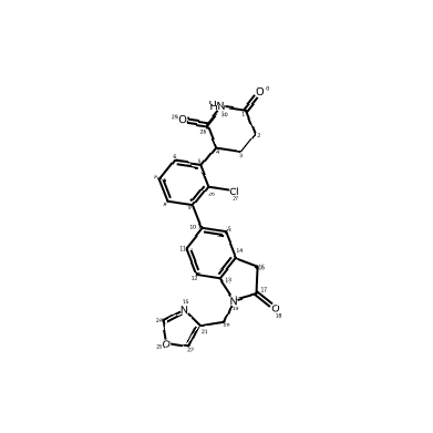 O=C1CCC(c2cccc(-c3ccc4c(c3)CC(=O)N4Cc3cocn3)c2Cl)C(=O)N1